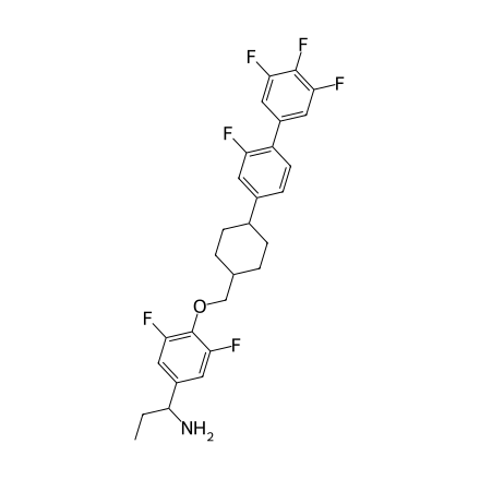 CCC(N)c1cc(F)c(OCC2CCC(c3ccc(-c4cc(F)c(F)c(F)c4)c(F)c3)CC2)c(F)c1